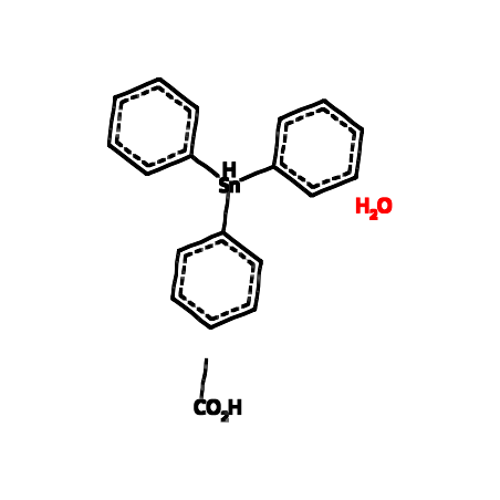 CC(=O)O.O.c1cc[c]([SnH]([c]2ccccc2)[c]2ccccc2)cc1